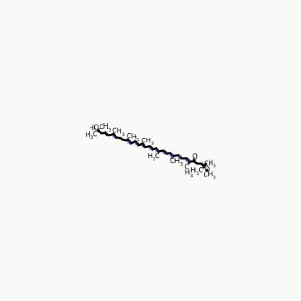 COC(C)(C)CCC(=O)/C(C)=C/C=C/C(C)=C/C=C/C(C)=C/C=C/C=C(C)/C=C/C=C(\C)CC/C=C(\C)CCCC(C)(C)O